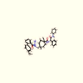 CN(C(=O)[C@@H](NC(=O)C1(C)CCC(C)(CNC(=O)c2ccccc2-c2ccc(C(C)(C)C)cc2)CC1)c1ccccc1)C1CCCCC1